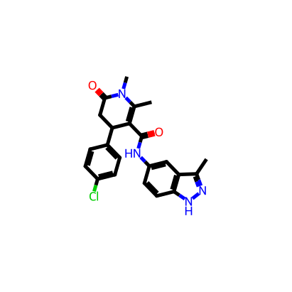 CC1=C(C(=O)Nc2ccc3[nH]nc(C)c3c2)C(c2ccc(Cl)cc2)CC(=O)N1C